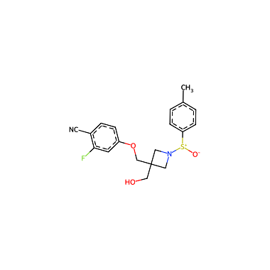 Cc1ccc([S+]([O-])N2CC(CO)(COc3ccc(C#N)c(F)c3)C2)cc1